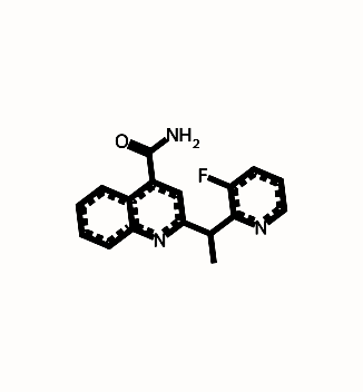 CC(c1cc(C(N)=O)c2ccccc2n1)c1ncccc1F